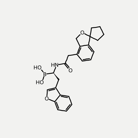 O=C(Cc1cccc2c1COC21CCCC1)N[C@@H](Cc1coc2ccccc12)B(O)O